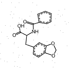 O=C(NC(Cc1ccc2c(c1)OCO2)C(=O)O)c1ccccc1